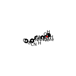 COc1nc(Nc2nccc(-c3ccc(OC4CCOCC4)c(C#N)c3)n2)ccc1C(=O)N[C@@H]1[C@@H]2C[C@H]1CN(C)C2